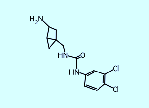 NC1CC2(CNC(=O)Nc3ccc(Cl)c(Cl)c3)CC12